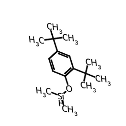 C[SiH](C)Oc1ccc(C(C)(C)C)cc1C(C)(C)C